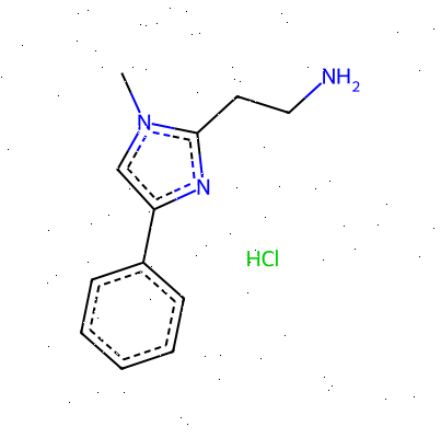 Cl.Cn1cc(-c2ccccc2)nc1CCN